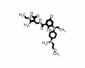 CCN(c1cc(Cl)cc(C(=O)NCc2c(C)n(CC)[nH]c2=O)c1C)C1CCC(N(C)CCOC)CC1